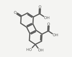 O=C1C=C(C(=O)O)C2=C(C1)C1=C2C(C(=O)O)=CC(O)(O)C1